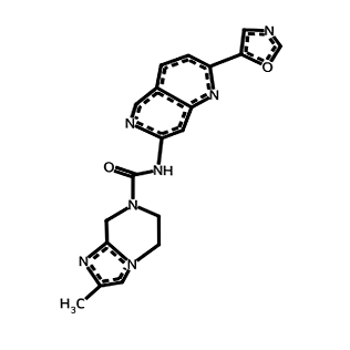 Cc1cn2c(n1)CN(C(=O)Nc1cc3nc(-c4cnco4)ccc3cn1)CC2